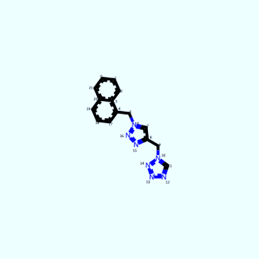 c1ccc2c(Cn3cc(Cn4cnnn4)nn3)cccc2c1